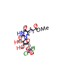 COC(=O)/C=C/c1cn([C@@H]2O[C@H](COP(=O)(Cl)Cl)[C@H](O)C2O)c(=O)[nH]c1=O